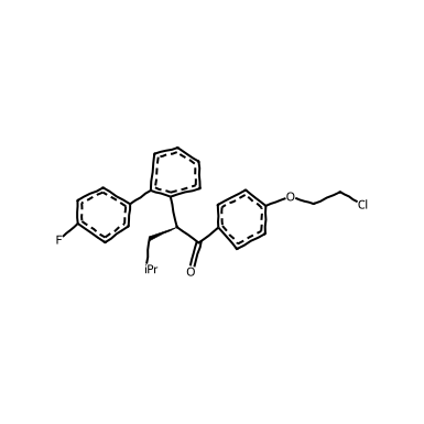 CC(C)C[C@H](C(=O)c1ccc(OCCCl)cc1)c1ccccc1-c1ccc(F)cc1